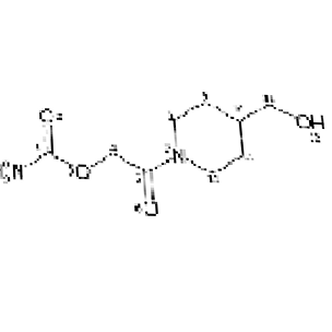 NC(=O)OCC(=O)N1CCC(CO)CC1